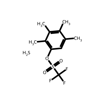 Cc1cc(OS(=O)(=O)C(F)(F)F)c(C)c(C)c1C.S